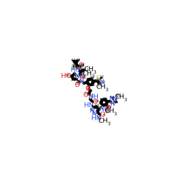 CNC(=O)c1nnc(NC(=O)CNC(=O)COc2cc(-c3scnc3C)ccc2CNC(=O)[C@@H]2C[C@@H](O)CN2C(=O)[C@@H](NC(=O)C2(F)CC2)C(C)(C)C)cc1Nc1cccc(-c2ncn(C)n2)c1OC